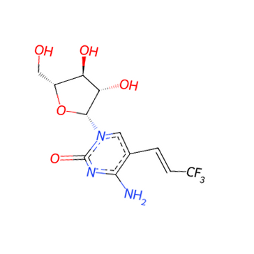 Nc1nc(=O)n([C@@H]2O[C@H](CO)[C@@H](O)[C@@H]2O)cc1/C=C/C(F)(F)F